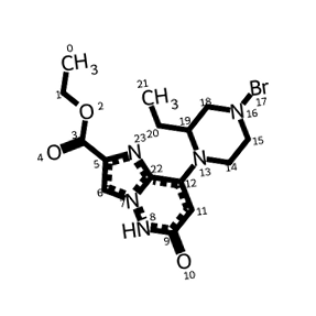 CCOC(=O)c1cn2[nH]c(=O)cc(N3CCN(Br)CC3CC)c2n1